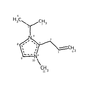 C=CCc1n(C(C)C)cc[n+]1C